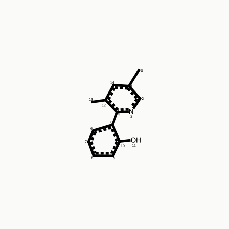 Cc1cnc(-c2ccccc2O)c(C)c1